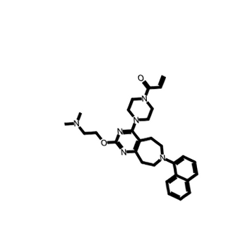 C=CC(=O)N1CCN(c2nc(OCCN(C)C)nc3c2CCN(c2cccc4ccccc24)CC3)CC1